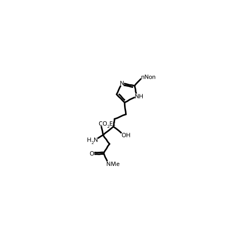 CCCCCCCCCc1ncc(CCC(O)C(N)(CC(=O)NC)C(=O)OCC)[nH]1